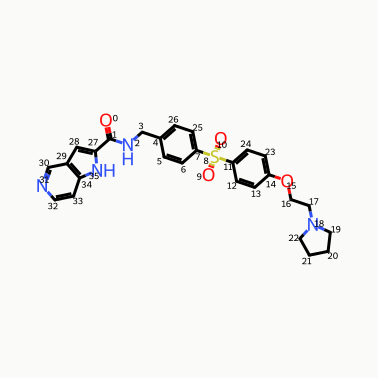 O=C(NCc1ccc(S(=O)(=O)c2ccc(OCCN3CCCC3)cc2)cc1)c1cc2cnccc2[nH]1